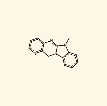 CN1C2=Nc3cccnc3CN2c2ccccc21